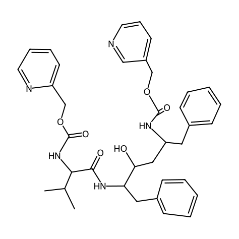 CC(C)C(NC(=O)OCc1ccccn1)C(=O)NC(Cc1ccccc1)C(O)CC(Cc1ccccc1)NC(=O)OCc1cccnc1